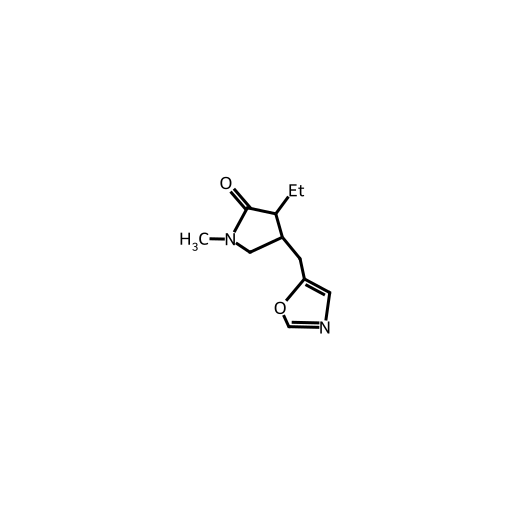 CCC1C(=O)N(C)CC1Cc1cnco1